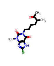 CC(=O)C(C)CCCCn1c(=O)c2[nH]c(Br)nc2n(C)c1=O